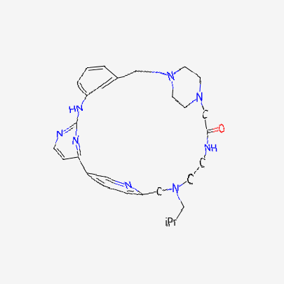 CC(C)CN1CCNC(=O)CN2CCN(CC2)Cc2cccc(c2)Nc2nccc(n2)-c2ccc(nc2)C1